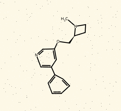 CN1CC[C@H]1COc1cncc(-c2ccccc2)c1